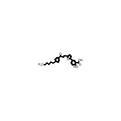 CCCCCCc1ccc(C(=O)/C=C/c2ccc(-c3ccc(O)c(C(=O)O)c3)o2)cc1